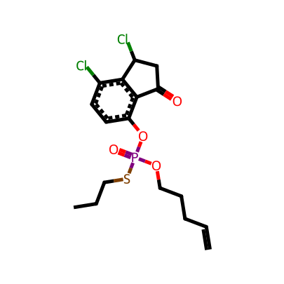 C=CCCCOP(=O)(Oc1ccc(Cl)c2c1C(=O)CC2Cl)SCCC